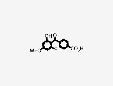 COc1cc(O)c(C(=O)c2ccc(C(=O)O)cc2)c(F)c1